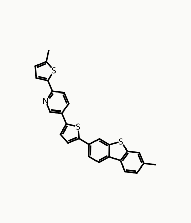 Cc1ccc2c(c1)sc1cc(-c3ccc(-c4ccc(-c5ccc(C)s5)nc4)s3)ccc12